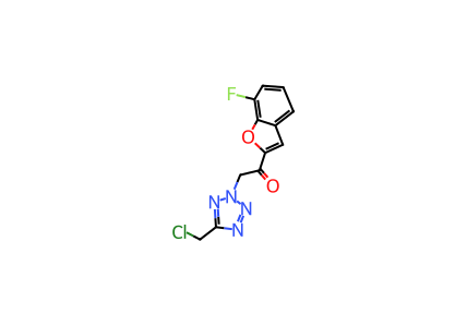 O=C(Cn1nnc(CCl)n1)c1cc2cccc(F)c2o1